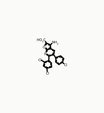 Nc1c(C(=O)O)oc2nc(-c3ccc(Cl)cc3Cl)c(-c3ccc(Cl)cc3)cc12